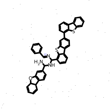 NC(NC(/N=C/c1ccccc1)c1cccc2c1sc1cc(-c3cccc4c3sc3ccccc34)ccc12)c1ccc2c(c1)OC1C=CC=CC21